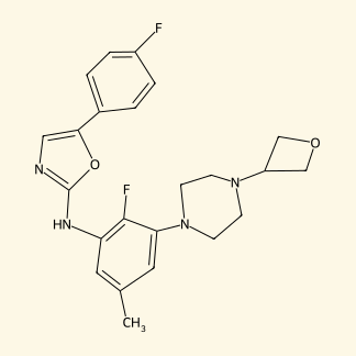 Cc1cc(Nc2ncc(-c3ccc(F)cc3)o2)c(F)c(N2CCN(C3COC3)CC2)c1